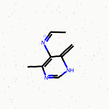 C=C1NC=NC(C)=C1/N=C\C